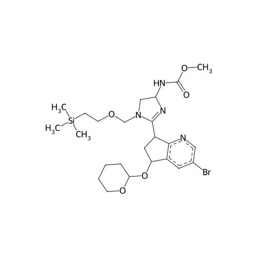 COC(=O)NC1CN(COCC[Si](C)(C)C)C(C2CC(OC3CCCCO3)c3cc(Br)cnc32)=N1